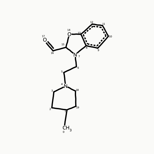 CC1CCN(CCN2c3ccccc3OC2C=O)CC1